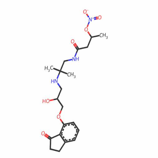 CC(CC(=O)NCC(C)(C)NCC(O)COc1cccc2c1C(=O)CC2)O[N+](=O)[O-]